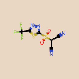 N#CC(C#N)S(=O)(=O)c1nnc(C(F)(F)F)s1